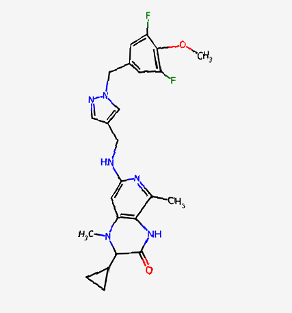 COc1c(F)cc(Cn2cc(CNc3cc4c(c(C)n3)NC(=O)C(C3CC3)N4C)cn2)cc1F